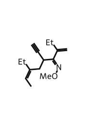 C#CC(C/C(=C\C)CC)/C(=N\OC)C(=C)CC